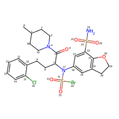 CC1CCN(C(=O)C(CCc2ccccc2Cl)N(c2cc3c(c(S(N)(=O)=O)c2)OCC3)S(=O)(=O)Br)CC1